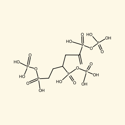 C=C(CC(CCP(=O)(O)OP(=O)(O)O)P(=O)(O)OP(=O)(O)O)P(=O)(O)OP(=O)(O)O